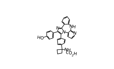 O=C(O)NC1(c2ccc(-c3c(-c4ccc(O)cc4)nc4n3-c3cccnc3Nc3ccccc3-4)cc2)CCC1